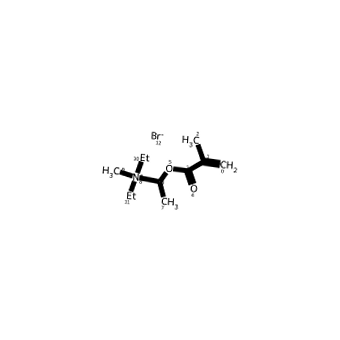 C=C(C)C(=O)OC(C)[N+](C)(CC)CC.[Br-]